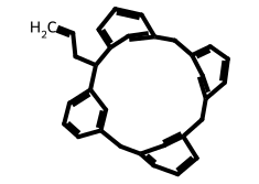 C=CCC1c2cccc(c2)Cc2cccc(c2)Cc2cccc(c2)Cc2cccc1c2